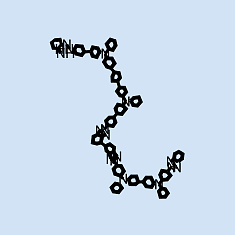 N=C1C=CC=C/C1=N/Nc1ccc(-c2ccc(N(c3ccccc3)c3ccc(-c4ccc(-c5ccc(N(c6ccccc6)c6ccc(-c7ccc(-n8nc9cccc(-c%10ccc%11nn(-c%12ccc(N(c%13ccccc%13)c%13ccc(-c%14ccc(N(c%15ccccc%15)c%15ccc(-n%16nc%17ccccc%17n%16)cc%15)cc%14)cc%13)cc%12)nc%11c%10)c9n8)cc7)cc6)cc5)cc4)cc3)cc2)cc1